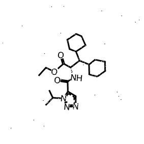 CCOC(=O)[C@@H](NC(=O)c1cnnn1C(C)C)C(C1CCCCC1)C1CCCCC1